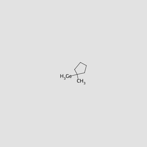 C[C]1([GeH3])CCCC1